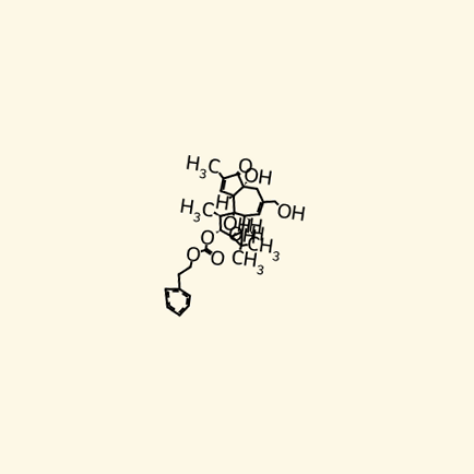 CC1=C[C@H]2[C@@]3(O)[C@H](C)[C@@H](OC(=O)OCCc4ccccc4)[C@]4(O)[C@@H]([C@@H]3C=C(CO)C[C@]2(O)C1=O)C4(C)C